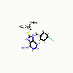 CC(=O)N[C@@H](CSc1nc2c(N)ncnc2n1Cc1ccc(F)cc1)C(=O)O